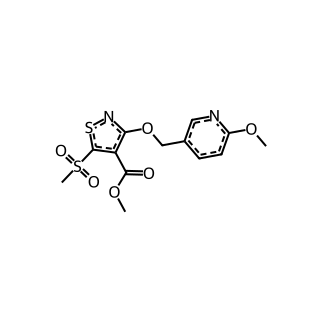 COC(=O)c1c(OCc2ccc(OC)nc2)nsc1S(C)(=O)=O